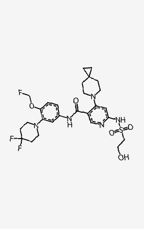 O=C(Nc1ccc(OCF)c(N2CCC(F)(F)CC2)c1)c1cnc(NS(=O)(=O)CCO)cc1N1CCC2(CC1)CC2